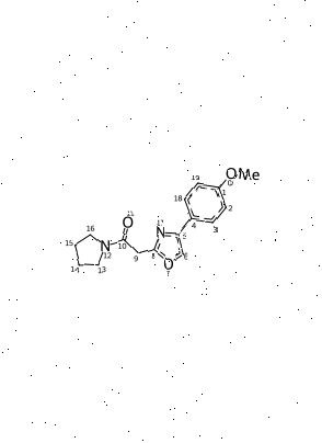 COc1ccc(-c2coc(CC(=O)N3CCCC3)n2)cc1